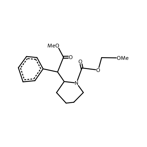 COCOC(=O)N1CCCCC1C(C(=O)OC)c1ccccc1